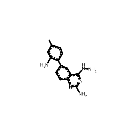 Cc1ccc(-c2ccc3nc(N)nc(NN)c3c2)c(N)c1